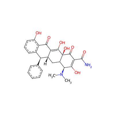 CN(C)[C@@H]1C(O)=C(C(N)=O)C(=O)[C@@]2(O)C(O)=C3C(=O)c4c(O)cccc4[C@H](c4ccccc4)[C@H]3CC12